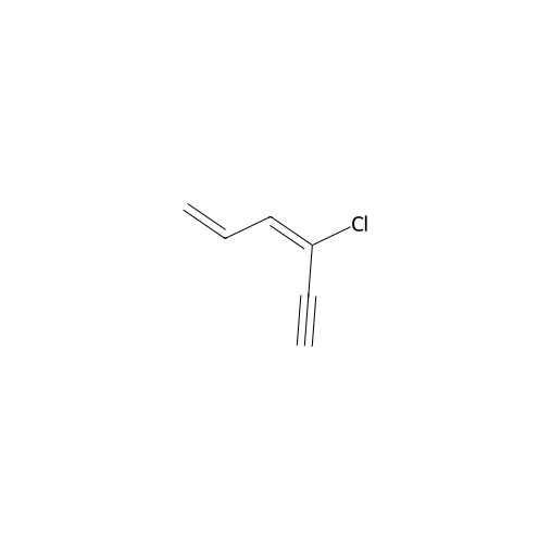 C#C/C(Cl)=C\C=C